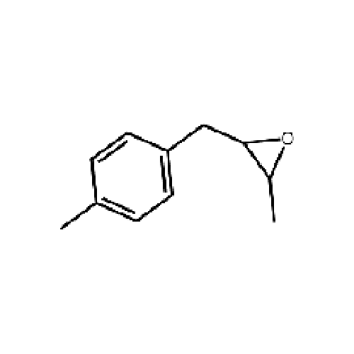 Cc1ccc(CC2OC2C)cc1